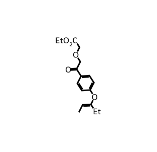 CC=C(CC)Oc1ccc(C(=O)COCC(=O)OCC)cc1